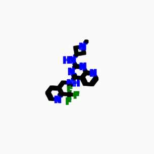 CN1CC(Nc2nc(NCc3cccnc3C(F)(F)F)c3cccnc3n2)C1